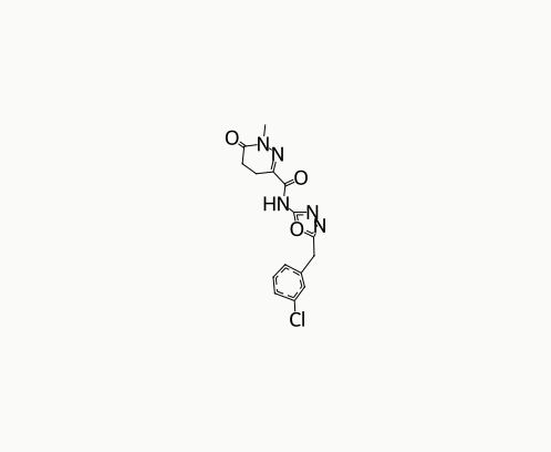 CN1N=C(C(=O)Nc2nnc(Cc3cccc(Cl)c3)o2)CCC1=O